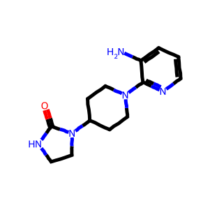 Nc1cccnc1N1CCC(N2CCNC2=O)CC1